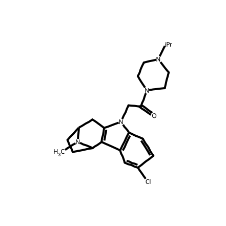 CC(C)N1CCN(C(=O)Cn2c3c(c4cc(Cl)ccc42)C2CCC(C3)N2C)CC1